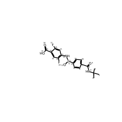 CC(C)(C)NC(=O)c1ccc([S+]([O-])Nc2cc(F)c(C(=O)O)cc2F)cc1